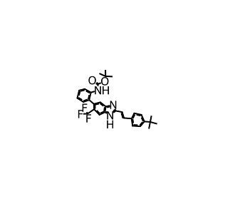 CC(C)(C)OC(=O)Nc1ccccc1-c1cc2nc(C=Cc3ccc(C(C)(C)C)cc3)[nH]c2cc1C(F)(F)F